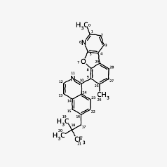 Cc1ccc2c(n1)oc1c(-c3nccc4cc(CC(C)(C)C(F)(F)F)ccc34)c(C)ccc12